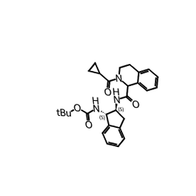 CC(C)(C)OC(=O)N[C@H]1c2ccccc2C[C@@H]1NC(=O)C1c2ccccc2CCN1C(=O)C1CC1